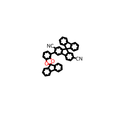 N#Cc1ccc2c(c1)C1(c3ccccc3-c3ccccc31)c1cc(C#N)c(-c3cccc4c3OC3(O4)c4ccccc4-c4ccccc43)cc1-2